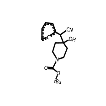 CC(C)(C)OC(=O)N1CCC(O)(C(C#N)c2ccccc2)CC1